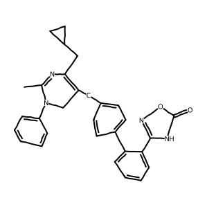 CC1=NC(CC2CC2)=C(Cc2ccc(-c3ccccc3-c3noc(=O)[nH]3)cc2)CN1c1ccccc1